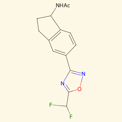 CC(=O)NC1CCc2cc(-c3noc(C(F)F)n3)ccc21